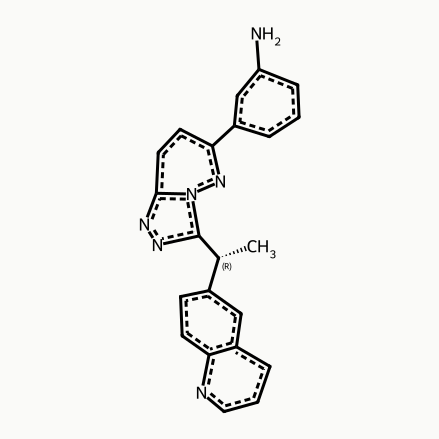 C[C@H](c1ccc2ncccc2c1)c1nnc2ccc(-c3cccc(N)c3)nn12